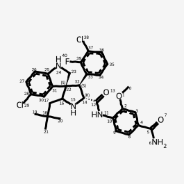 COc1cc(C(N)=O)ccc1NC(=O)[C@@H]1NC(CC(C)(C)C)[C@@]2(CNc3ccc(Cl)cc32)[C@H]1c1cccc(Cl)c1F